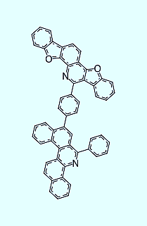 c1ccc(-c2nc3c4ccccc4ccc3c3c2cc(-c2ccc(-c4nc5c(ccc6c7ccccc7oc65)c5oc6ccccc6c45)cc2)c2ccccc23)cc1